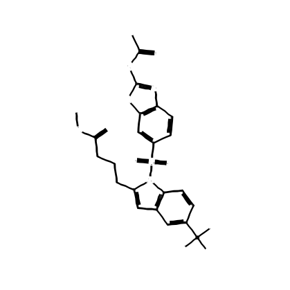 COC(=O)CCCc1cc2cc(C(F)(F)F)ccc2n1S(=O)(=O)c1ccc2nc(NC(C)=O)sc2c1